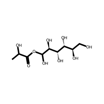 CC(O)C(=O)OC(O)[C@@H](O)[C@@H](O)[C@H](O)[C@H](O)CO